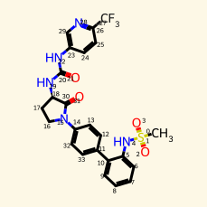 CS(=O)(=O)Nc1ccccc1-c1ccc(N2CC[C@@H](NC(=O)Nc3ccc(C(F)(F)F)nc3)C2=O)cc1